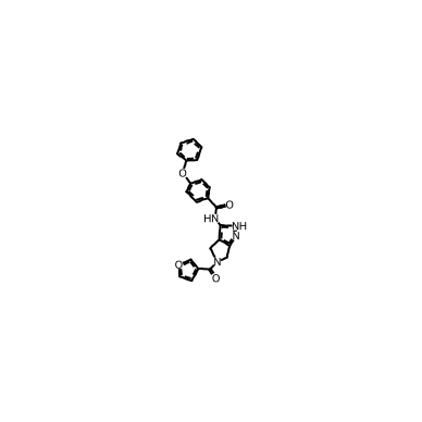 O=C(Nc1[nH]nc2c1CN(C(=O)c1ccoc1)C2)c1ccc(Oc2ccccc2)cc1